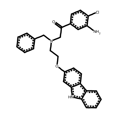 Nc1cc(C(=O)CN(CCOc2ccc3c(c2)[nH]c2ccccc23)Cc2ccccc2)ccc1Cl